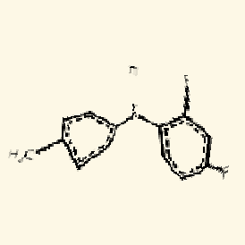 Cc1ccc(Nc2ccc(F)[c]c2F)cc1.[Ti]